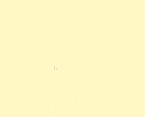 COC(=O)c1cc(-c2ccccc2-c2ccccc2Cl)c[nH]1